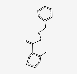 O=C(OOCc1ccccc1)c1ccccc1I